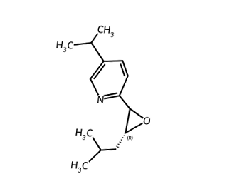 CC(C)C[C@H]1OC1c1ccc(C(C)C)cn1